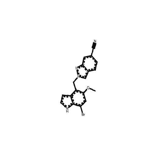 COc1cc(Br)c2[nH]ccc2c1Cn1cc2ccc(C#N)cc2n1